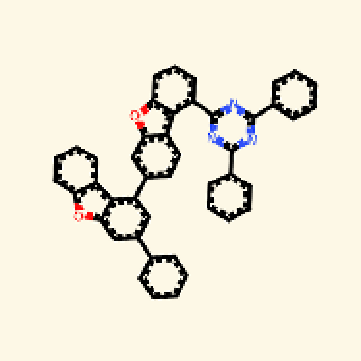 c1ccc(-c2cc(-c3ccc4c(c3)oc3cccc(-c5nc(-c6ccccc6)nc(-c6ccccc6)n5)c34)c3c(c2)oc2ccccc23)cc1